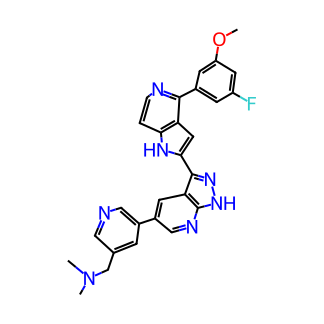 COc1cc(F)cc(-c2nccc3[nH]c(-c4n[nH]c5ncc(-c6cncc(CN(C)C)c6)cc45)cc23)c1